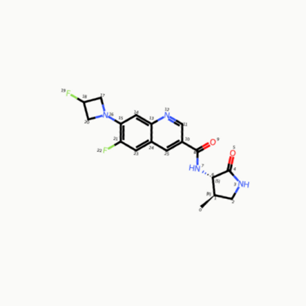 C[C@@H]1CNC(=O)[C@H]1NC(=O)c1cnc2cc(N3CC(F)C3)c(F)cc2c1